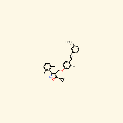 Cc1cc(OCc2c(-c3c(C)cccc3C)noc2C2CC2)ccc1/C=C/c1cccc(C(=O)O)c1